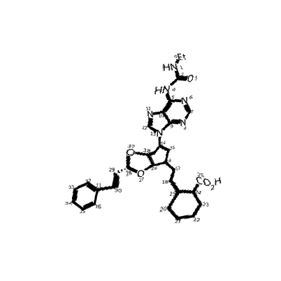 CCNC(=O)Nc1ncnc2c1ncn2C1CC(CCC2CCCCC2C(=O)O)C2O[C@H](/C=C/c3ccccc3)OC21